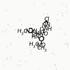 CN1CCc2nc(C(=O)N[C@@H]3CC(C(=O)N(C)C)CC[C@@H]3NC(=O)C(=O)Nc3ncc(Cl)cn3)sc2C1